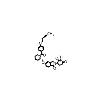 CC#CCCOc1ccc(C(=O)N2CCCC[C@H]2COc2ccc3c(c2)CN(C2CCC(=O)NC2=O)C3=O)cc1